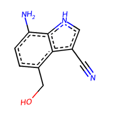 N#Cc1c[nH]c2c(N)ccc(CO)c12